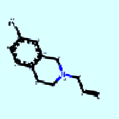 C=CCN1CCc2ccc(C(C)C)cc2C1